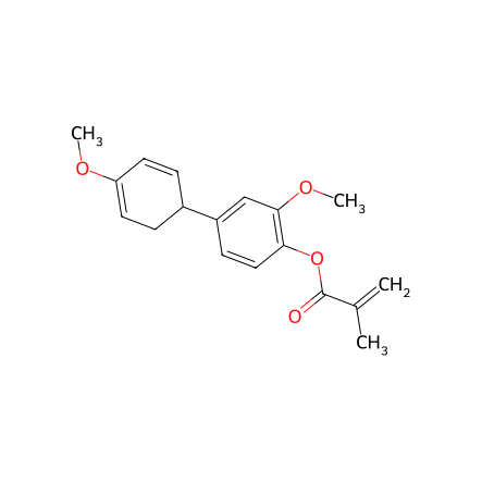 C=C(C)C(=O)Oc1ccc(C2C=CC(OC)=CC2)cc1OC